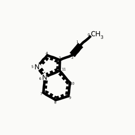 CC#Cc1cnn2ccccc12